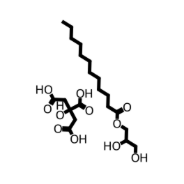 CCCCCCCCCCCC(=O)OCC(O)CO.O=C(O)CC(O)(CC(=O)O)C(=O)O